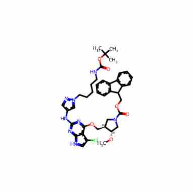 CO[C@H]1CN(C(=O)OCC2c3ccccc3-c3ccccc32)C[C@@H]1COc1nc(Nc2cnn(CCCCCNC(=O)OC(C)(C)C)c2)nc2[nH]cc(Cl)c12